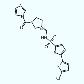 O=C(N1CC[C@@H](CNS(=O)(=O)c2ccc(-c3ccc(Cl)s3)s2)C1)n1ccnc1